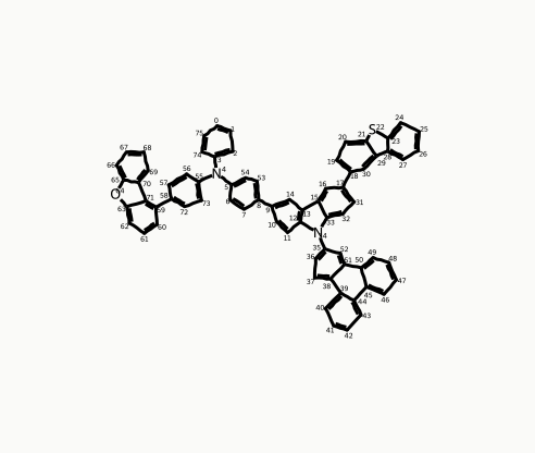 c1ccc(N(c2ccc(-c3ccc4c(c3)c3cc(-c5ccc6sc7ccccc7c6c5)ccc3n4-c3ccc4c5ccccc5c5ccccc5c4c3)cc2)c2ccc(-c3cccc4oc5ccccc5c34)cc2)cc1